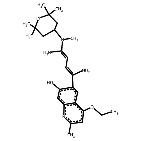 CCOc1cc(C)nc2cc(O)c(/C(N)=C/C=C(\N)N(C)C3CC(C)(C)NC(C)(C)C3)cc12